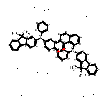 CC1(C)c2ccccc2-c2ccc(N(c3ccccc3)c3ccc4ccc5c(ccc6cccc(N(c7ccccc7)c7ccc8c(c7)C(C)(C)c7ccccc7-8)c65)c4c3)cc21